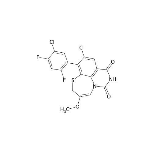 COC1=Cn2c(=O)[nH]c(=O)c3cc(Cl)c(-c4cc(Cl)c(F)cc4F)c(c32)SC1